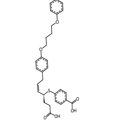 O=C(O)CC[C@@H](/C=C\Cc1ccc(OCCCCOc2ccccc2)cc1)Sc1ccc(C(=O)O)cc1